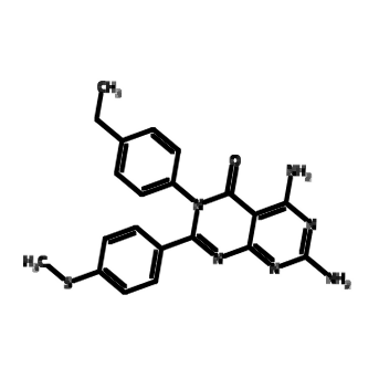 CCc1ccc(-n2c(-c3ccc(SC)cc3)nc3nc(N)nc(N)c3c2=O)cc1